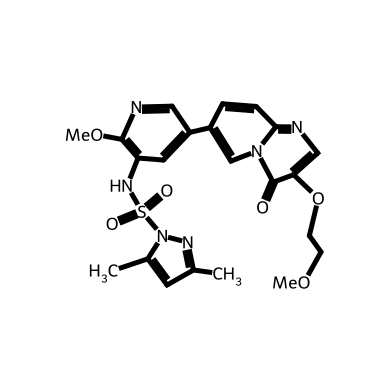 COCCOc1cnc2ccc(-c3cnc(OC)c(NS(=O)(=O)n4nc(C)cc4C)c3)cn2c1=O